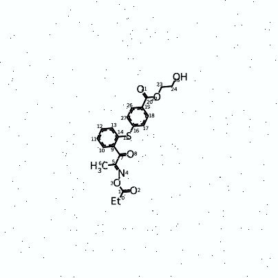 CCC(=O)O/N=C(\C)C(=O)c1ccccc1Sc1ccc(C(=O)OCCO)cc1